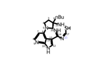 CCCCC1(N)CCN(c2ccnc3[nH]cc(C(=N)/N=C\S)c23)C1